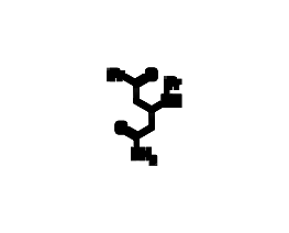 CC(C)NC(CC(N)=O)CC(=O)C(C)C